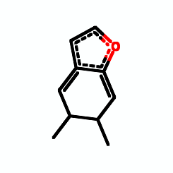 CC1C=c2ccoc2=CC1C